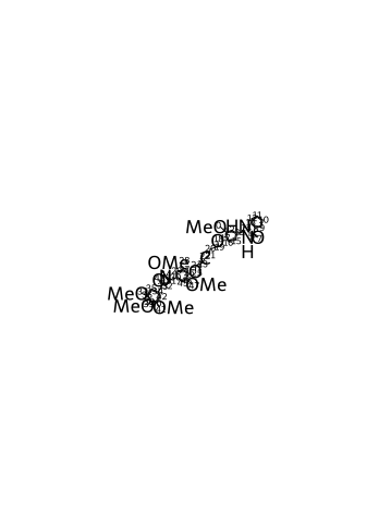 COc1cc(C2NC(=O)c3ccccc3N2)ccc1OCCCCCCOc1c(OC)cc(-c2cc(-c3cc(OC)c(OC)c(OC)c3)on2)cc1OC